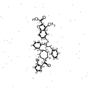 Cc1c(C(=O)O)oc2ccc(SN(CCc3ccccc3)c3ccccc3N3CCCN(C(=O)c4sccc4Br)CC3)cc12